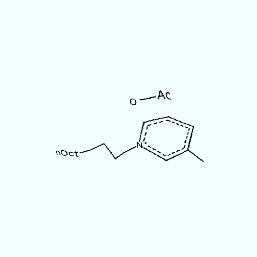 CC(=O)[O-].CCCCCCCCCC[n+]1cccc(C)c1